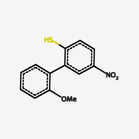 COc1ccccc1-c1cc([N+](=O)[O-])ccc1S